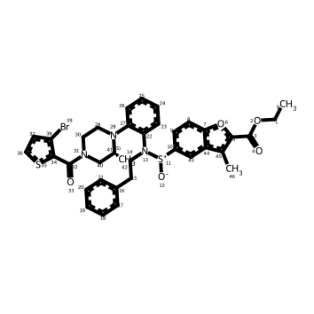 CCOC(=O)c1oc2ccc([S+]([O-])N(CCc3ccccc3)c3ccccc3N3CCN(C(=O)c4sccc4Br)C[C@@H]3C)cc2c1C